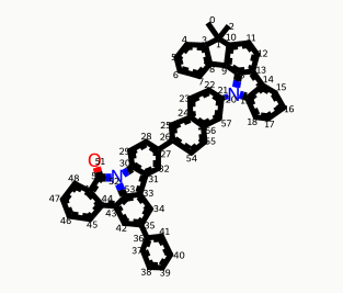 CC1(C)c2ccccc2-c2c1ccc1c3ccccc3n(-c3ccc4cc(-c5ccc6c(c5)c5cc(-c7ccccc7)cc7c8ccccc8c(=O)n6c75)ccc4c3)c21